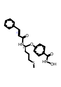 CSCCC[C@@H](NC(=O)/C=C/c1ccccc1)Oc1ccc(C(=O)NO)cc1